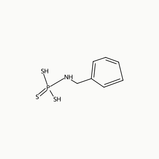 S=P(S)(S)NCc1ccccc1